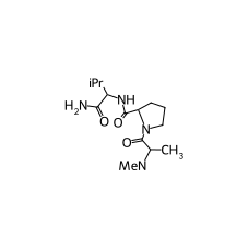 CNC(C)C(=O)N1CCCC1C(=O)NC(C(N)=O)C(C)C